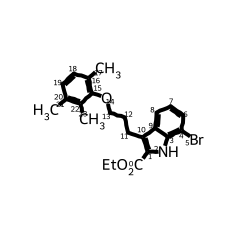 CCOC(=O)c1[nH]c2c(Br)cccc2c1CCCOc1c(C)ccc(C)c1C